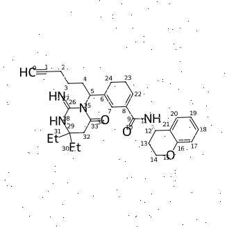 C#CCCCC(C1=CC(C(=O)N[C@H]2CCOc3ccccc32)=CCC1)N1C(=N)NC(CC)(CC)CC1=O